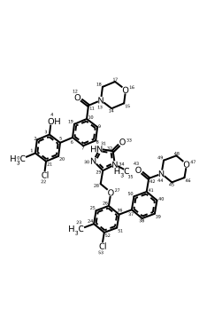 Cc1cc(O)c(-c2cccc(C(=O)N3CCOCC3)c2)cc1Cl.Cc1cc(OCc2n[nH]c(=O)n2C)c(-c2cccc(C(=O)N3CCOCC3)c2)cc1Cl